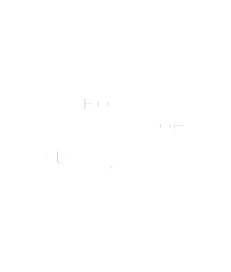 CCCCOC(=O)C(CO)C(C)O